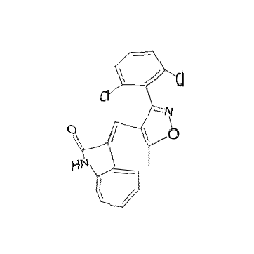 Cc1onc(-c2c(Cl)cccc2Cl)c1/C=C1/C(=O)Nc2ccccc21